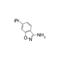 CC(C)c1ccc2c(N)noc2c1